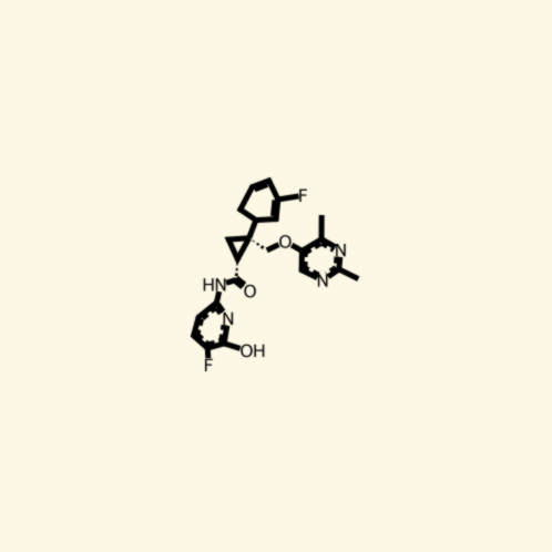 Cc1ncc(OC[C@@]2(C3C=C(F)C=CC3)C[C@H]2C(=O)Nc2ccc(F)c(O)n2)c(C)n1